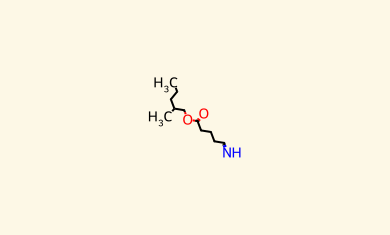 CCCC(C)COC(=O)CCCC=N